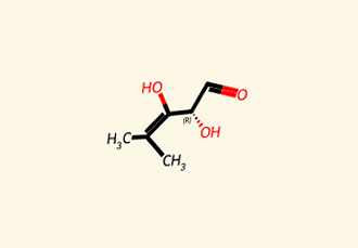 CC(C)=C(O)[C@@H](O)C=O